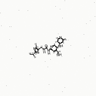 Cc1cc(Nc2cnc(NC(=O)NCc3sc(C(C)C)nc3C)cc2C=N)ccn1